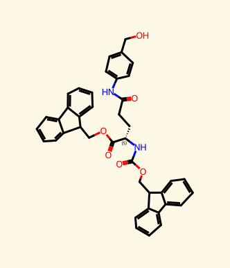 O=C(CC[C@H](NC(=O)OCC1c2ccccc2-c2ccccc21)C(=O)OCC1c2ccccc2-c2ccccc21)Nc1ccc(CO)cc1